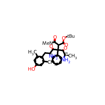 CNC(=O)C(C(=O)OC(C)(C)C)C(C(=O)[C@H](N)Cc1c(C)cc(O)cc1C)(C(=O)[C@@H](C)N)c1ccccc1